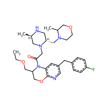 CCOCC1COc2ncc(Cc3ccc(F)cc3)cc2N1C(=O)CN1C[C@@H](C)NC[C@@H]1CN1CCOCC1C